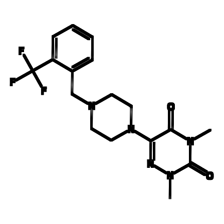 Cn1nc(N2CCN(Cc3ccccc3C(F)(F)F)CC2)c(=O)n(C)c1=O